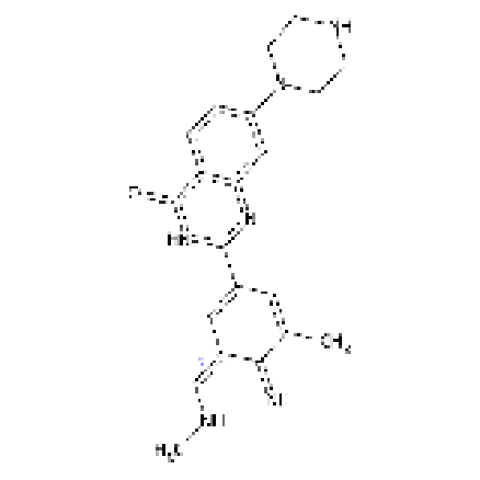 CN/C=C1/C=C(c2nc3cc(N4CCNCC4)ccc3c(=O)[nH]2)C=C(C)C1=N